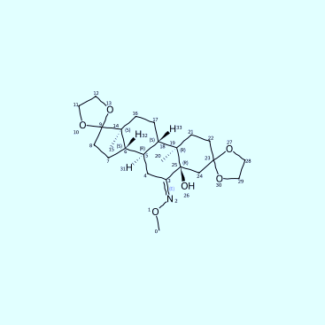 CO/N=C1\C[C@H]2[C@@H]3CCC4(OCCO4)[C@@]3(C)CC[C@@H]2[C@@]2(C)CCC3(C[C@]12O)OCCO3